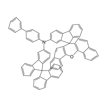 c1ccc(-c2ccc(N(c3ccc4c(c3)-c3ccccc3C43c4ccccc4-c4ccccc43)c3ccc4c(c3)C3(c5ccccc5-4)c4ccc5ccccc5c4Oc4c3ccc3ccccc43)cc2)cc1